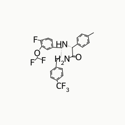 Cc1ccc([C@@H](N[C@H](CCc2ccc(C(F)(F)F)cc2)c2ccc(F)c(OC(F)F)c2)C(N)=O)cc1